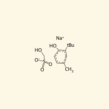 Cc1ccc(O)c(C(C)(C)C)c1.O=S(=O)([O-])CO.[Na+]